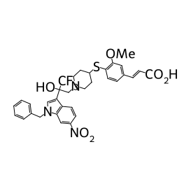 COc1cc(/C=C/C(=O)O)ccc1SC1CCN(CC(O)(c2cn(Cc3ccccc3)c3cc([N+](=O)[O-])ccc23)C(F)(F)F)CC1